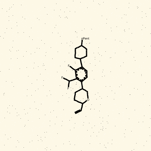 C=CC1CCC(c2ccc(C3CCC(CCCCC)CC3)c(F)c2C(F)F)CO1